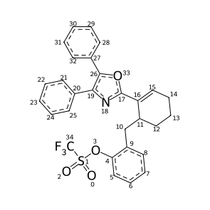 O=S(=O)(Oc1ccccc1CC1CCCC=C1c1nc(-c2ccccc2)c(-c2ccccc2)o1)C(F)(F)F